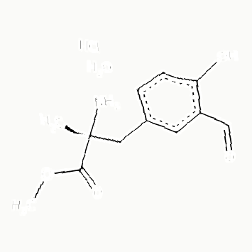 COC(=O)[C@](C)(N)Cc1ccc(O)c(C=O)c1.Cl.O